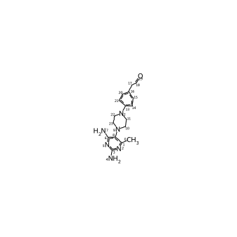 Cc1nc(N)nc(N)c1N1CCN(c2ccc(CC=O)cc2)CC1